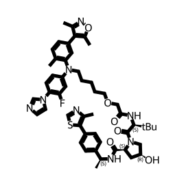 Cc1ccc(-c2c(C)noc2C)cc1N(CCCCCOCC(=O)N[C@H](C(=O)N1C[C@H](O)C[C@H]1C(=O)N[C@@H](C)c1ccc(-c2scnc2C)cc1)C(C)(C)C)c1ccc(-n2ccnc2)c(F)c1